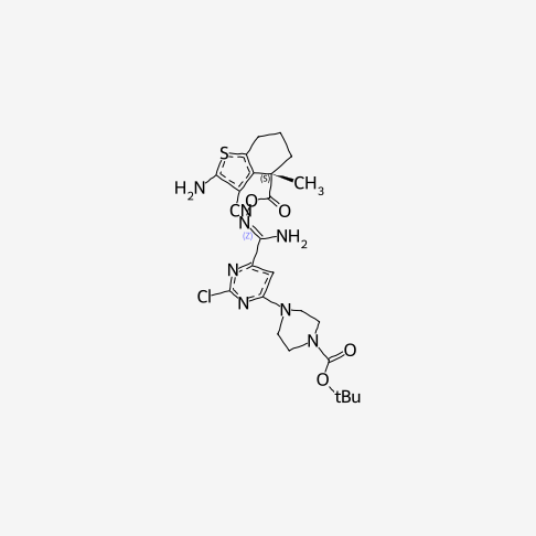 CC(C)(C)OC(=O)N1CCN(c2cc(/C(N)=N/OC(=O)[C@@]3(C)CCCc4sc(N)c(C#N)c43)nc(Cl)n2)CC1